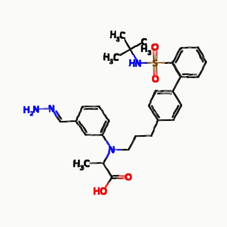 CC(C(=O)O)N(CCCc1ccc(-c2ccccc2S(=O)(=O)NC(C)(C)C)cc1)c1cccc(C=NN)c1